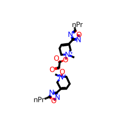 CCCc1nc(C2=CCC[N+](C)(OC(=O)C(=O)O[N+]3(C)CCC=C(c4noc(CCC)n4)C3)C2)no1